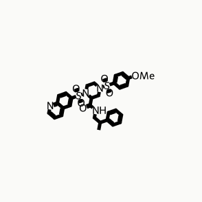 COc1ccc(S(=O)(=O)N2CCN(S(=O)(=O)c3ccc4ncccc4c3)C(C(=O)NCC(C)c3ccccc3)C2)cc1